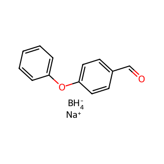 O=Cc1ccc(Oc2ccccc2)cc1.[BH4-].[Na+]